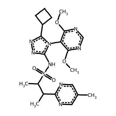 COc1ncnc(OC)c1-n1c(NS(=O)(=O)C(C)C(C)c2ncc(C)cn2)nnc1C1CCC1